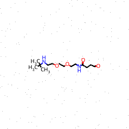 CC(C)(C)NCCOCCOCCNC(=O)CCC=O